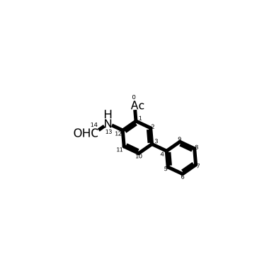 CC(=O)c1cc(-c2ccccc2)ccc1NC=O